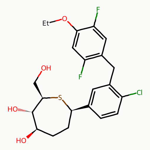 CCOc1cc(F)c(Cc2cc([C@H]3CC[C@@H](O)[C@H](O)[C@@H](CO)S3)ccc2Cl)cc1F